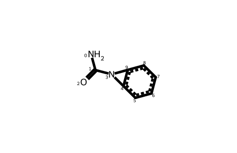 NC(=O)N1c2ccccc21